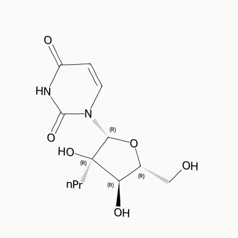 CCC[C@@]1(O)[C@H](O)[C@@H](CO)O[C@H]1n1ccc(=O)[nH]c1=O